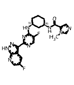 Cn1cncc1C(=O)N[C@@H]1CCC[C@H](Nc2nc(-c3n[nH]c4ncc(F)cc34)ncc2F)C1